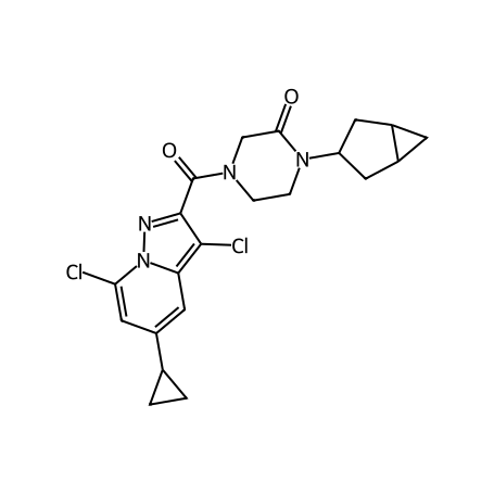 O=C(c1nn2c(Cl)cc(C3CC3)cc2c1Cl)N1CCN(C2CC3CC3C2)C(=O)C1